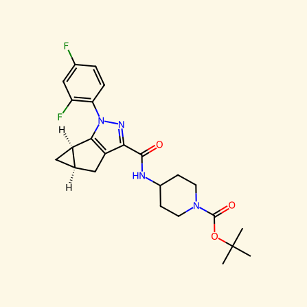 CC(C)(C)OC(=O)N1CCC(NC(=O)c2nn(-c3ccc(F)cc3F)c3c2C[C@H]2C[C@@H]32)CC1